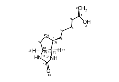 C=C(O)CCCC[C@@H]1SC[C@@H]2NC(=O)N[C@@H]21